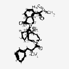 CC(Cc1ccccc1)C(=O)N1CC[C@@](O)(CN2Cc3c(C(=O)N(C)C)cccc3C2=O)C2(CCCC2)C1